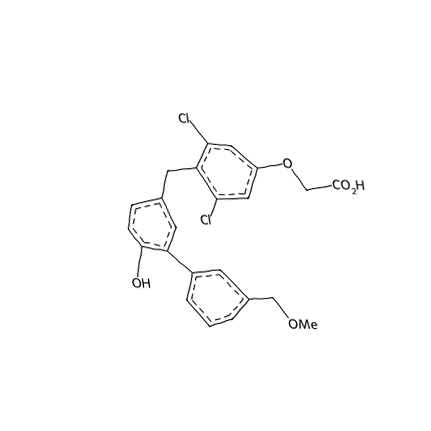 COCc1cccc(-c2cc(Cc3c(Cl)cc(OCC(=O)O)cc3Cl)ccc2O)c1